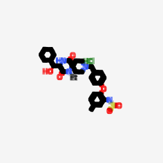 CCN1C(=O)[C@@H]([C@H](O)C2CCCCC2)NC(=O)C12CCN(Cc1ccc(Oc3ccc(C)cc3N=S(=O)=O)cc1)CC2.Cl